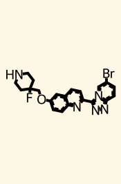 FC1(COc2ccc3nc(-c4nnc5ccc(Br)cn45)ccc3c2)CCNCC1